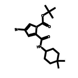 CC1(C)CCC(NC(=O)c2cc(Br)cn2C(=O)OC(C)(C)C)CC1